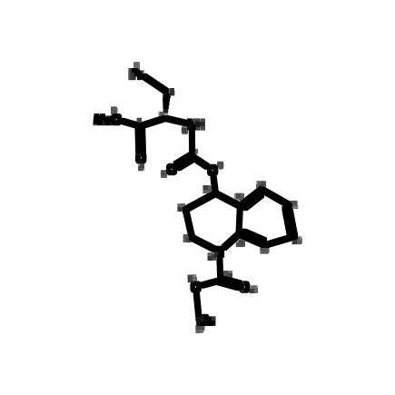 COC(=O)[C@H](CC(C)C)NC(=O)OC1CCN(C(=O)OC(C)(C)C)c2ccccc21